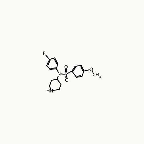 COc1ccc(S(=O)(=O)N(c2ccc(F)cc2)C2CCNCC2)cc1